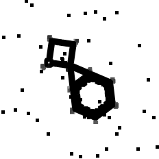 c1ccc2c(c1)C21CCO1